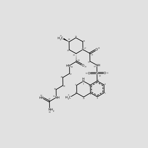 CC1CNc2c(cccc2S(=O)(=O)NCC(=O)N2CC[C@H](C)C[C@H]2C(=O)NCCCCNC(=N)N)C1